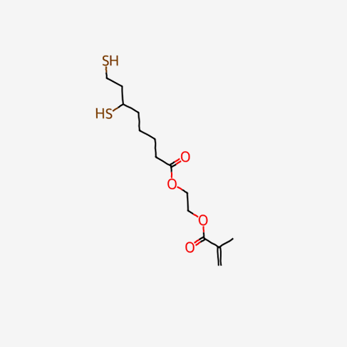 C=C(C)C(=O)OCCOC(=O)CCCCC(S)CCS